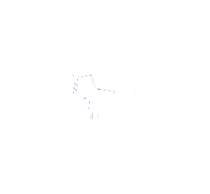 CCCC(C)c1cncn1C(C)C